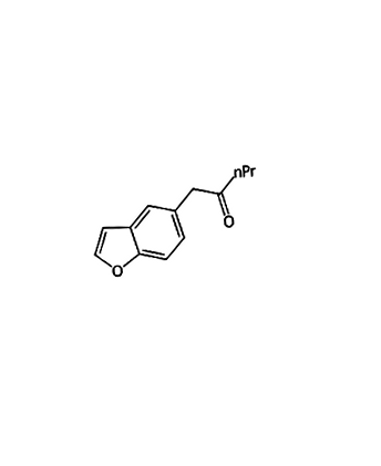 CCCC(=O)Cc1ccc2occc2c1